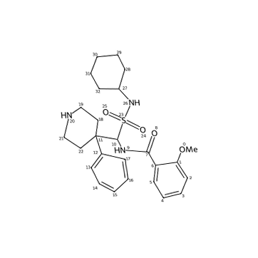 COc1ccccc1C(=O)NC(C1(c2ccccc2)CCNCC1)S(=O)(=O)NC1CCCCC1